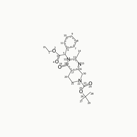 CCOC(=O)C(c1ccccc1)n1c(C)nc2c(c1=O)CCN(C(=O)OC(C)(C)C)C2